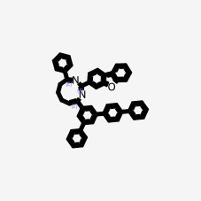 C1=C(c2cc(-c3ccccc3)cc(-c3ccc(-c4ccccc4)cc3)c2)/N=C(c2ccc3c(c2)oc2ccccc23)\N=C(\c2ccccc2)CCC\1